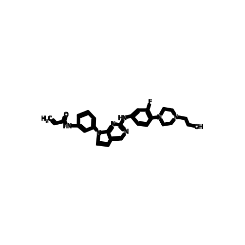 C=CC(=O)Nc1cccc(-n2ccc3cnc(Nc4ccc(N5CCN(CCO)CC5)c(F)c4)nc32)c1